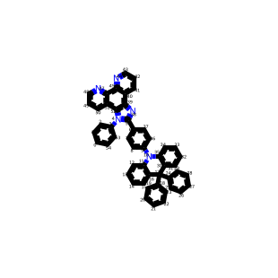 c1ccc(-n2c(-c3ccc(N4c5ccccc5C(c5ccccc5)(c5ccccc5)c5ccccc54)cc3)nc3c4cccnc4c4ncccc4c32)cc1